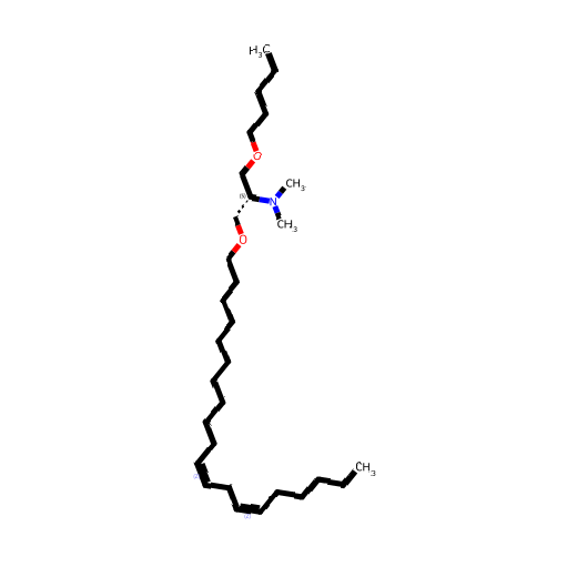 CCCCC/C=C\C/C=C\CCCCCCCCCCOC[C@H](COCCCCC)N(C)C